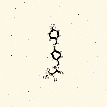 CC[C@@H](C(=O)NCc1ccc(OCc2ccc(C(F)(F)F)cc2)cc1)N(CC)CC